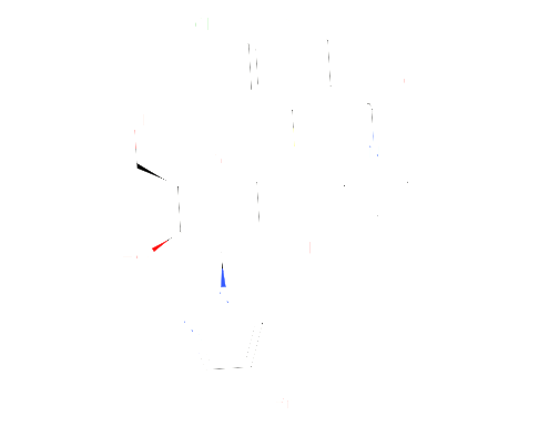 O=C(c1ccc(Cl)cc1S[C@H]1O[C@H](CO)[C@H](O)[C@H](n2cc(Br)cn2)[C@H]1O)N1CCC1